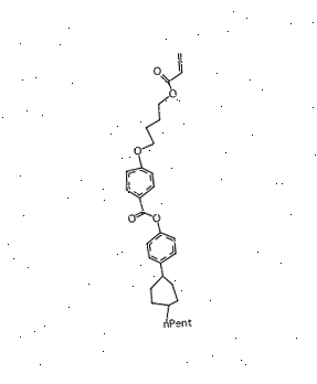 C=CC(=O)OCCCCOc1ccc(C(=O)Oc2ccc(C3CCC(CCCCC)CC3)cc2)cc1